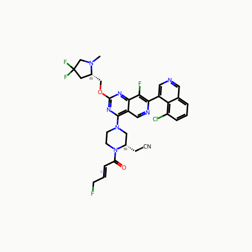 CN1CC(F)(F)C[C@H]1COc1nc(N2CCN(C(=O)/C=C/CF)[C@@H](CC#N)C2)c2cnc(-c3cncc4cccc(Cl)c34)c(F)c2n1